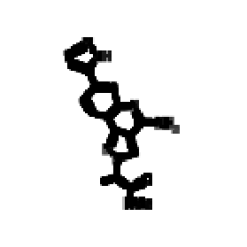 CNC(=O)C(C)n1cc2c(N)nc3cc(-c4ccn[nH]4)ccc3c2n1